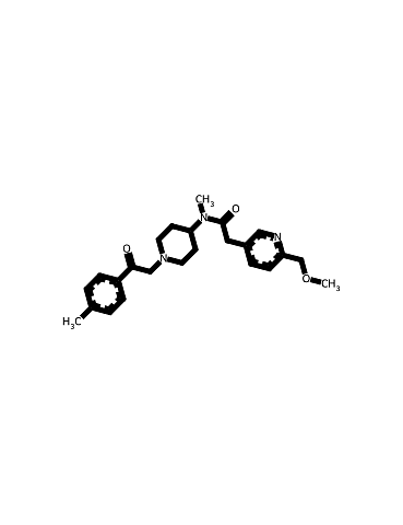 COCc1ccc(CC(=O)N(C)C2CCN(CC(=O)c3ccc(C)cc3)CC2)cn1